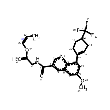 C=C(CNC(=O)c1cnc2c(C3=CCC(C(F)(F)F)CC3)cc(OC)cc2c1)O/C=C\C